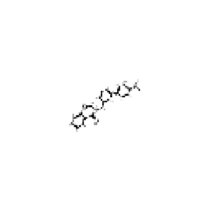 CN(C)c1ccc(-c2cccc(Cn3cnc4ncccc4c3=O)c2)cn1